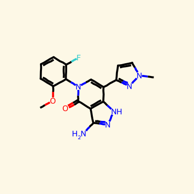 COc1cccc(F)c1-n1cc(-c2ccn(C)n2)c2[nH]nc(N)c2c1=O